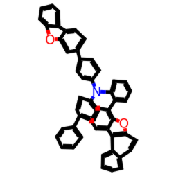 c1ccc(-c2ccc(N(c3ccc(-c4ccc5c(c4)oc4ccccc45)cc3)c3ccccc3-c3cccc4c3oc3ccc5ccccc5c34)cc2)cc1